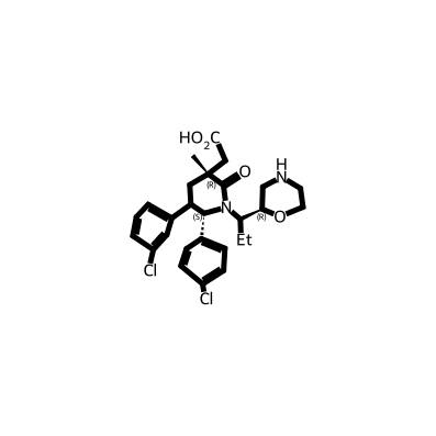 CCC([C@H]1CNCCO1)N1C(=O)[C@@](C)(CC(=O)O)CC(c2cccc(Cl)c2)[C@H]1c1ccc(Cl)cc1